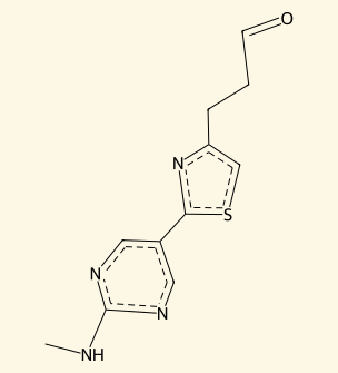 CNc1ncc(-c2nc(CCC=O)cs2)cn1